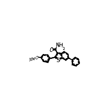 COc1ccc(-c2sc3cc(-c4ccccc4)ccc3c2C(N)=O)cc1